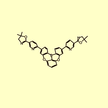 CC1(C)CN=C(c2ccc(-c3ccc4c(c3)Oc3cccc5c3B4c3ccc(-c4ccc(C6=NCC(C)(C)O6)cn4)cc3O5)nc2)O1